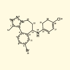 Cc1nnn2c1-c1ccc(Br)cc1C(NC1=CC=C(Cl)CC1)CC2